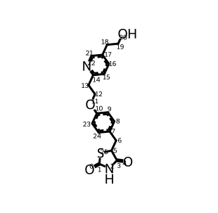 O=C1NC(=O)C(Cc2ccc(OCCc3ccc(CCO)cn3)cc2)S1